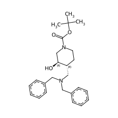 CC(C)(C)OC(=O)N1CC[C@H](CN(Cc2ccccc2)Cc2ccccc2)[C@@H](O)C1